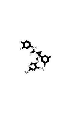 Cc1ncc(OC[C@@]2(C3C=C(F)C=C(F)C3)C[C@H]2C(=O)Nc2ccc(F)c(F)c2)c(C)n1